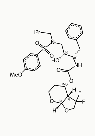 COc1ccc(S(=O)(=O)N(CC(C)C)C[C@@H](O)[C@H](Cc2ccccc2)NC(=O)O[C@H]2CCO[C@H]3OCC(F)(F)[C@H]32)cc1